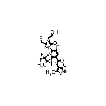 Cc1n[nH]c(Cl)c1NC(=O)c1cc(F)c(-n2nc(CF)n(CCO)c2=O)nc1O[C@@H](C)C(F)(F)F